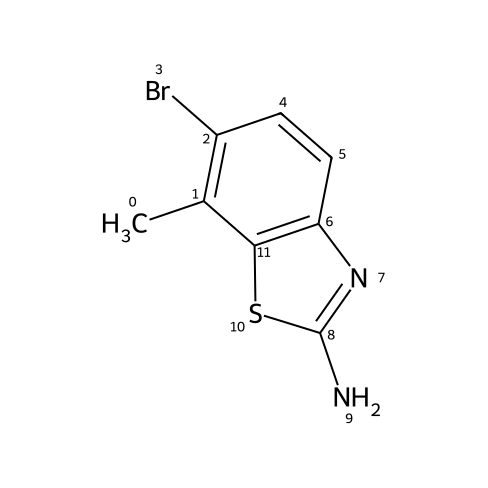 Cc1c(Br)ccc2nc(N)sc12